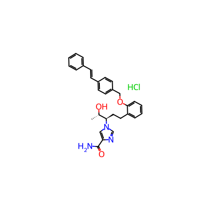 C[C@H](O)[C@@H](CCc1ccccc1OCc1ccc(C=Cc2ccccc2)cc1)n1cnc(C(N)=O)c1.Cl